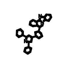 c1ccc(-c2cc(-c3cccc(-c4cn5c6ccccc6nc5c5ccccc45)c3)cc(-c3ccccc3)n2)cc1